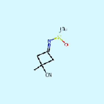 CC1(C#N)CC(=N[S@@+]([O-])C(C)(C)C)C1